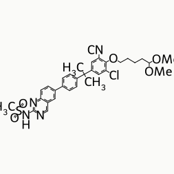 COC(CCCCOc1c(Cl)cc(C(C)(C)c2ccc(-c3ccc4nc(NS(C)(=O)=O)ncc4c3)cc2)cc1C#N)OC